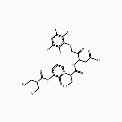 CCC(C(=O)NC(CC(=O)O)C(=O)COc1c(F)c(F)cc(F)c1F)n1cccc(NC(=O)N(CC)CC)c1=O